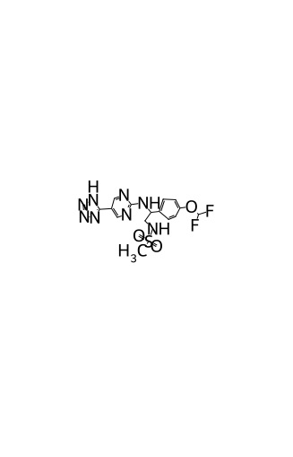 CS(=O)(=O)NCC(Nc1ncc(-c2nnn[nH]2)cn1)c1ccc(OC(F)F)cc1